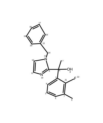 Cc1cccc(C(C)(O)c2nccn2Cc2ccccc2)c1F